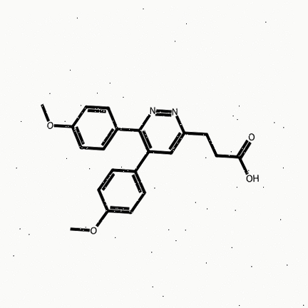 COc1ccc(-c2cc(CCC(=O)O)nnc2-c2ccc(OC)cc2)cc1